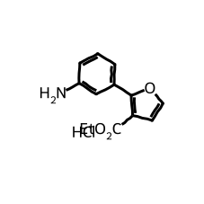 CCOC(=O)c1ccoc1-c1cccc(N)c1.Cl